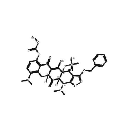 C=C1[C@@H]2Cc3c(N(C)C)ccc(OC(=O)OC(C)(C)C)c3C(=O)C2=C(O)[C@]2(O[Si](C)(C)C(C)(C)C)C(=O)c3c(OCc4ccccc4)noc3[C@@H](N(C)C)[C@H]12